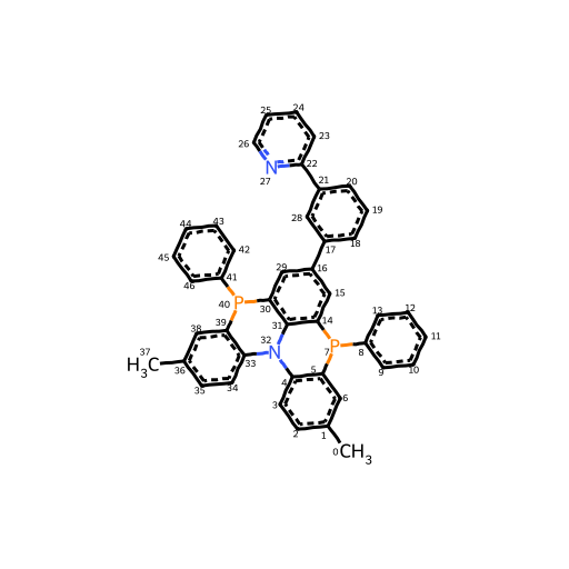 Cc1ccc2c(c1)P(c1ccccc1)c1cc(-c3cccc(-c4ccccn4)c3)cc3c1N2c1ccc(C)cc1P3c1ccccc1